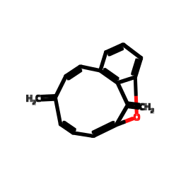 C=c1cccc2oc3cccc(cc1)c3c2=C